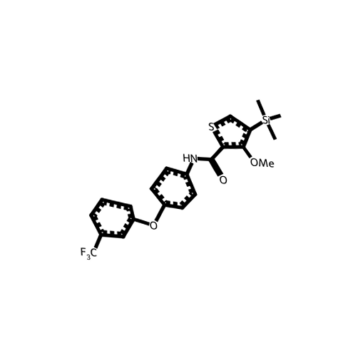 COc1c([Si](C)(C)C)csc1C(=O)Nc1ccc(Oc2cccc(C(F)(F)F)c2)cc1